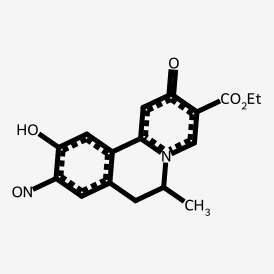 CCOC(=O)c1cn2c(cc1=O)-c1cc(O)c(N=O)cc1CC2C